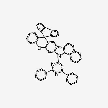 c1ccc(-c2cc(-n3c4cc5c(cc4c4ccc6ccccc6c43)C3(c4ccccc4O5)c4ccccc4-c4ccccc43)nc(-c3ccccc3)n2)cc1